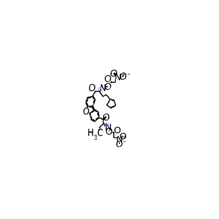 CC/C(=N\OC(=O)C[N+](=O)[O-])C(=O)c1ccc2oc3ccc(C(=O)/C(CCC4CCCC4)=N/OC(=O)C[N+](=O)[O-])cc3c2c1